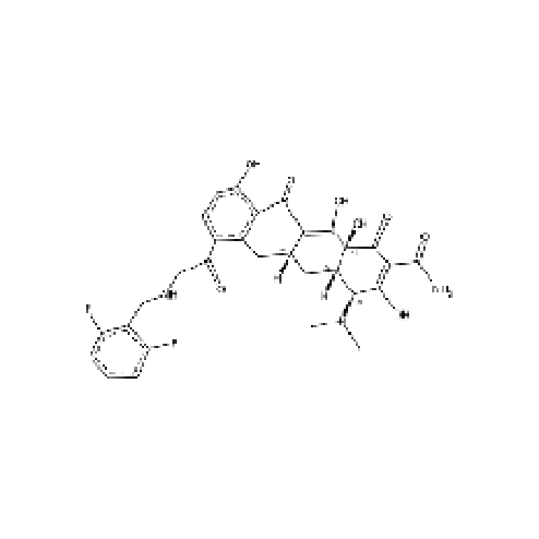 CN(C)[C@@H]1C(O)=C(C(N)=O)C(=O)[C@@]2(O)C(O)=C3C(=O)c4c(O)ccc(C(=O)CNCc5c(F)cccc5F)c4C[C@H]3C[C@@H]12